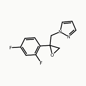 Fc1ccc(C2(Cn3cccn3)CO2)c(F)c1